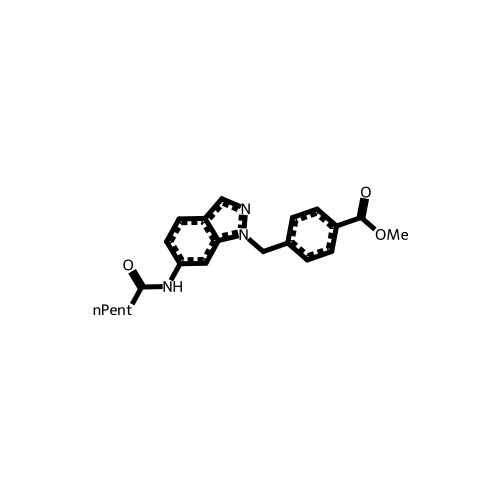 CCCCCC(=O)Nc1ccc2cnn(Cc3ccc(C(=O)OC)cc3)c2c1